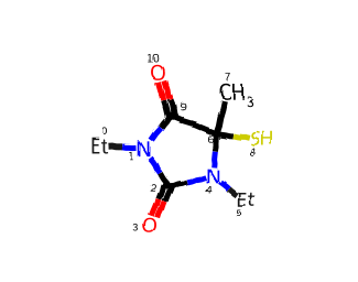 CCN1C(=O)N(CC)C(C)(S)C1=O